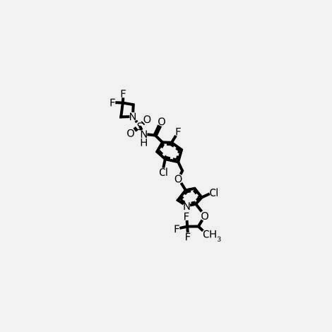 CC(Oc1ncc(OCc2cc(F)c(C(=O)NS(=O)(=O)N3CC(F)(F)C3)cc2Cl)cc1Cl)C(F)(F)F